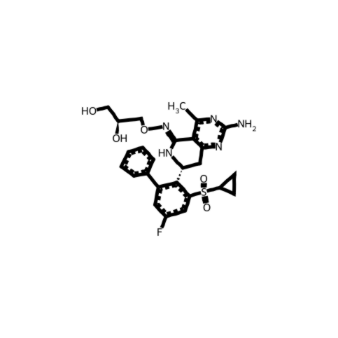 Cc1nc(N)nc2c1/C(=N/OC[C@@H](O)CO)N[C@@H](c1c(-c3ccccc3)cc(F)cc1S(=O)(=O)C1CC1)C2